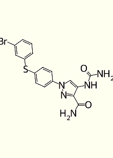 NC(=O)Nc1cn(-c2ccc(Sc3cccc(Br)c3)cc2)nc1C(N)=O